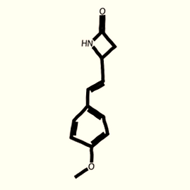 COc1ccc(C=CC2CC(=O)N2)cc1